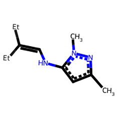 CCC(=CNc1cc(C)nn1C)CC